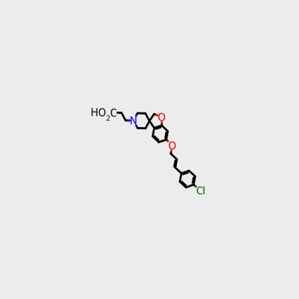 O=C(O)CCN1CCC2(CC1)COc1cc(OCC=Cc3ccc(Cl)cc3)ccc12